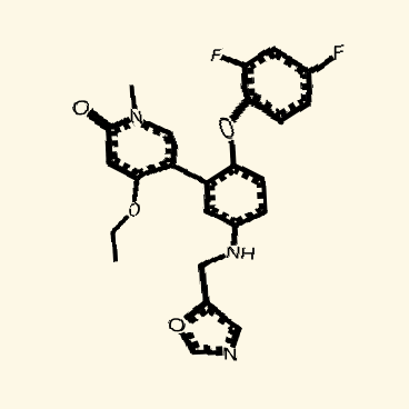 CCOc1cc(=O)n(C)cc1-c1cc(NCc2cnco2)ccc1Oc1ccc(F)cc1F